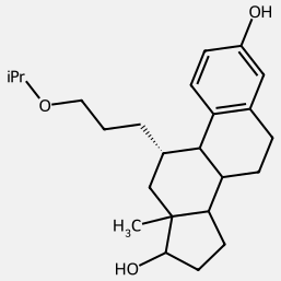 CC(C)OCCC[C@H]1CC2(C)C(O)CCC2C2CCc3cc(O)ccc3C21